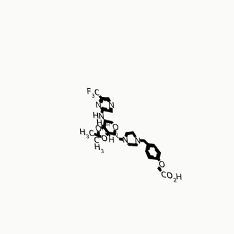 CC1(C)O[C@@H]2[C@H](O1)[C@@H](Nc1cncc(C(F)(F)F)n1)CO[C@@H]2CN1CCN(Cc2ccc(OCC(=O)O)cc2)CC1